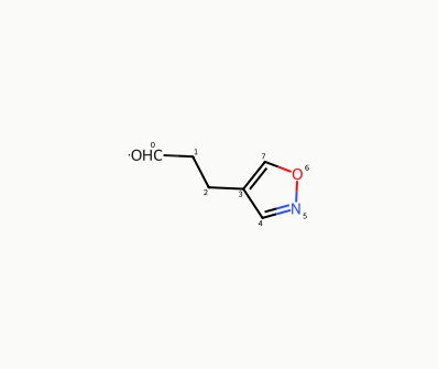 O=[C]CCc1cnoc1